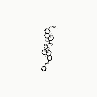 C[C@]1(C(=O)NC(=O)[C@@]2(C)CCC[C@]3(C)c4cc(OCc5ccccc5)ccc4CC[C@@H]23)CCC[C@]2(C)c3cc(CN)ccc3CC[C@@H]12